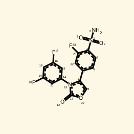 NS(=O)(=O)c1ccc(-c2coc(=O)n2-c2cc(F)cc(F)c2)cc1F